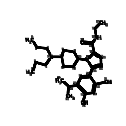 CCCN(CCC)C1CCC(n2c(C(=O)NCC)nnc2-c2cc(C(C)C)c(O)cc2O)CC1